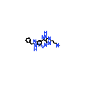 CN(C)CCCc1nc(N)c2c(-c3ccc4[nH]c(Cc5ccccc5)nc4c3)n[nH]c2n1